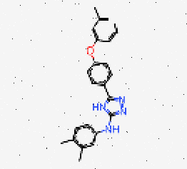 C=C(C)/C=C(\C=C/C)Oc1ccc(-c2nnc(Nc3ccc(C)c(C)c3)[nH]2)cc1